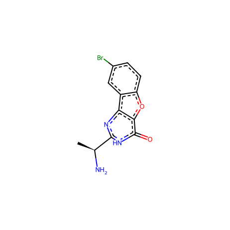 C[C@H](N)c1nc2c(oc3ccc(Br)cc32)c(=O)[nH]1